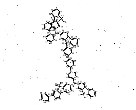 CC1(C)c2ccccc2-c2ccc(N(c3ccc(-c4ccc(-c5ccc(C6(C)c7ccccc7-c7ccc(N(c8ccc9c(c8)C(C)(C)c8ccccc8-9)c8ccccc8-c8ccccc8)cc76)cc5)cc4)cc3)c3ccc4c(c3)C(C)(C)c3cc(-c5ccccc5)ccc3-4)cc21